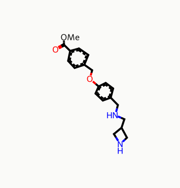 COC(=O)c1ccc(COc2ccc(CNCC3CNC3)cc2)cc1